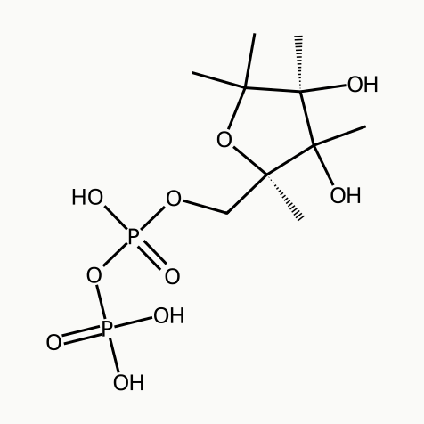 CC1(C)O[C@](C)(COP(=O)(O)OP(=O)(O)O)C(C)(O)[C@]1(C)O